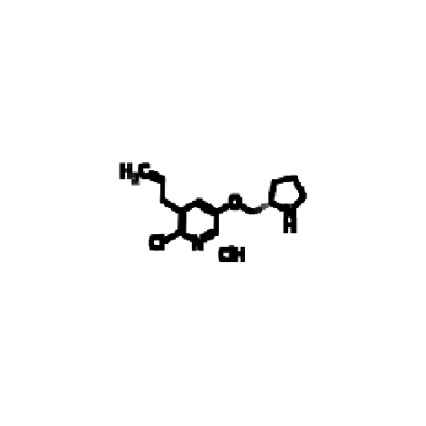 C=CCc1cc(OC[C@@H]2CCCN2)cnc1Cl.Cl